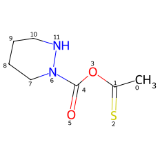 CC(=S)OC(=O)N1CCCCN1